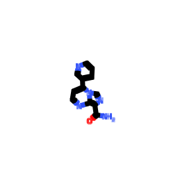 NC(=O)c1ncn2c(-c3cccnc3)ccnc12